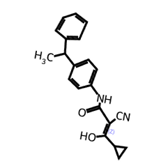 CC(c1ccccc1)c1ccc(NC(=O)/C(C#N)=C(\O)C2CC2)cc1